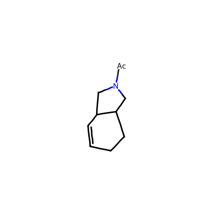 CC(=O)N1CC2C=CCCC2C1